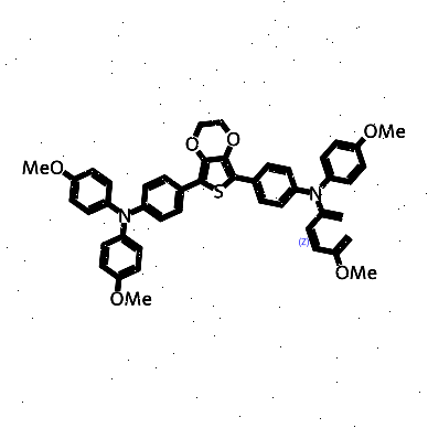 C=C(/C=C\C(=C)N(c1ccc(OC)cc1)c1ccc(-c2sc(-c3ccc(N(c4ccc(OC)cc4)c4ccc(OC)cc4)cc3)c3c2OCCO3)cc1)OC